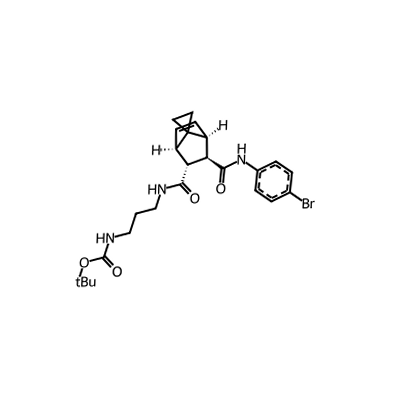 CC(C)(C)OC(=O)NCCCNC(=O)[C@H]1[C@H](C(=O)Nc2ccc(Br)cc2)[C@@H]2C=C[C@H]1C21CC1